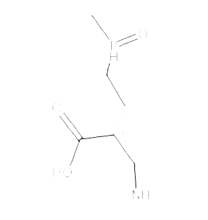 C[PH](=O)CC[C@H](CN)C(=O)O